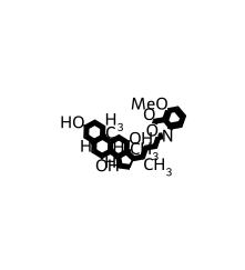 COc1cccc2nc(CC[C@@H](C)[C@H]3CC[C@H]4[C@H]5C(C[C@H](O)[C@]34C)[C@@]3(C)CC[C@@H](O)C[C@H]3C[C@H]5O)oc(=O)c12